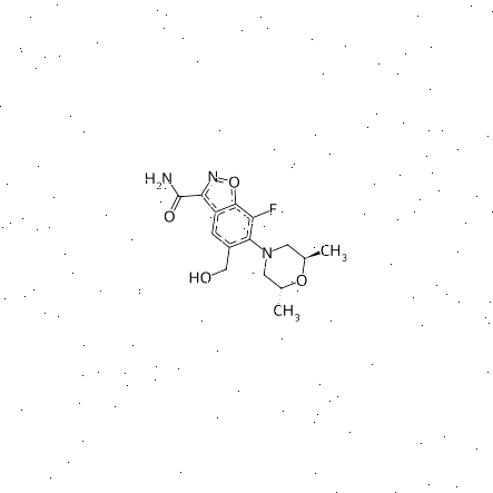 C[C@@H]1CN(c2c(CO)cc3c(C(N)=O)noc3c2F)C[C@@H](C)O1